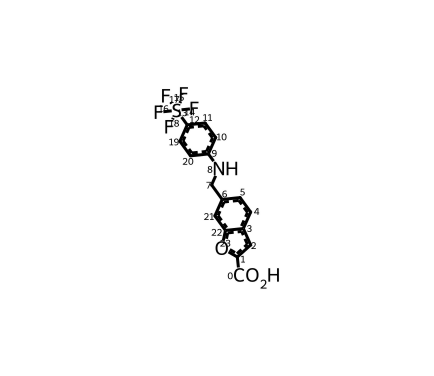 O=C(O)c1cc2ccc(CNc3ccc(S(F)(F)(F)(F)F)cc3)cc2o1